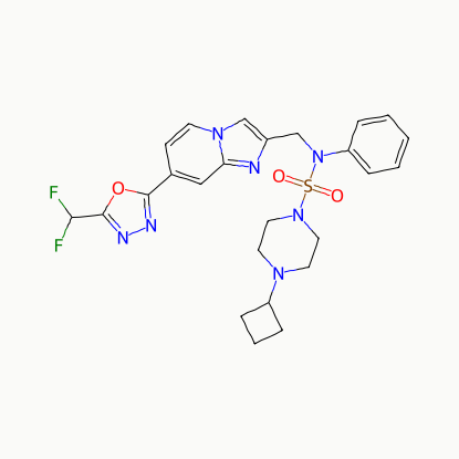 O=S(=O)(N1CCN(C2CCC2)CC1)N(Cc1cn2ccc(-c3nnc(C(F)F)o3)cc2n1)c1ccccc1